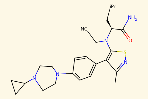 Cc1nsc(N(CC#N)[C@@H](CC(C)C)C(N)=O)c1-c1ccc(N2CCN(C3CC3)CC2)cc1